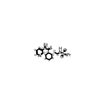 CCN(C(=S)[C@@H]1CCCC[C@H]1CCNS(=O)(=O)C(C)C)c1cccnc1